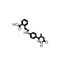 CC1CC(=O)NN=C1c1ccc(NN=Cc2ccccc2C(=O)O)cc1